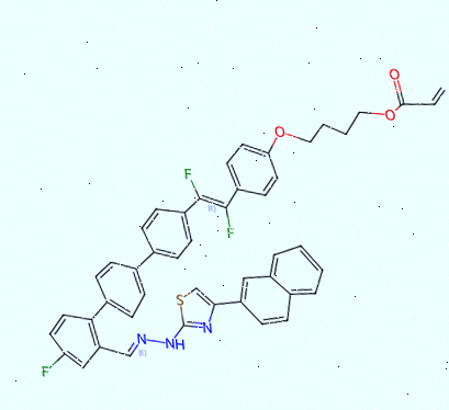 C=CC(=O)OCCCCOc1ccc(/C(F)=C(\F)c2ccc(-c3ccc(-c4ccc(F)cc4/C=N/Nc4nc(-c5ccc6ccccc6c5)cs4)cc3)cc2)cc1